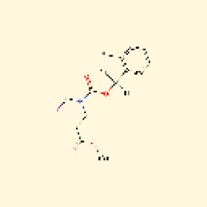 [3H]c1ccccc1C([3H])([3H])OC(=O)N(CI)CCC(=O)OC(C)(C)C